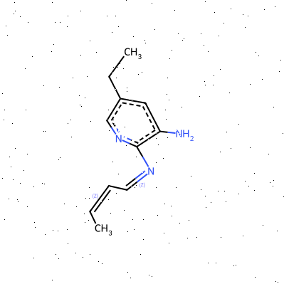 C/C=C\C=N/c1ncc(CC)cc1N